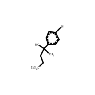 CCOC(=O)CCC(C)(C#N)c1ccc(Br)cc1